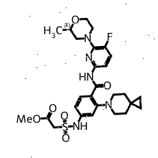 COC(=O)CS(=O)(=O)Nc1ccc(C(=O)Nc2ccc(F)c(N3CCO[C@H](C)C3)n2)c(N2CCC3(CC2)CC3)c1